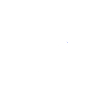 CCC1(c2cccc(C(=O)NS(=O)(=O)C(F)(F)F)c2)CO1